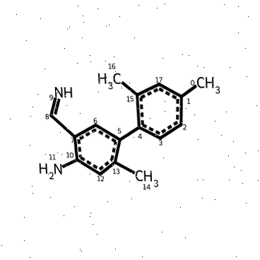 Cc1ccc(-c2cc(C=N)c(N)cc2C)c(C)c1